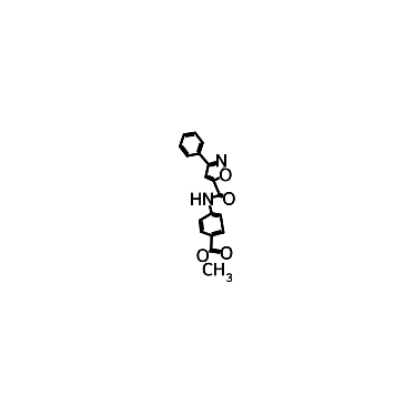 COC(=O)c1ccc(NC(=O)c2cc(-c3ccccc3)no2)cc1